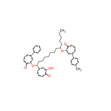 CCCCCC(CCCCCCCC(Oc1cc(-c2ccccc2)cccc1=O)c1cccc(=O)c(O)c1)Oc1cc(-c2ccc(C)cc2)cccc1=O